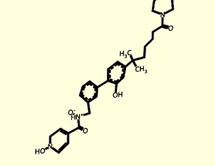 CC(C)(CCCCC(=O)N1CCOCC1)c1ccc(-c2cccc(C[NH+]([O-])C(=O)C3=CCN(O)C=C3)c2)c(O)c1